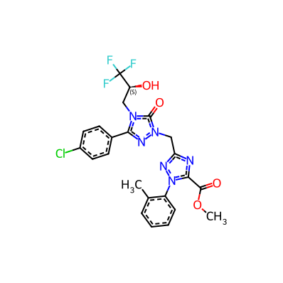 COC(=O)c1nc(Cn2nc(-c3ccc(Cl)cc3)n(C[C@H](O)C(F)(F)F)c2=O)nn1-c1ccccc1C